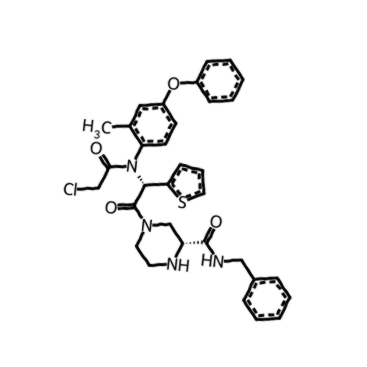 Cc1cc(Oc2ccccc2)ccc1N(C(=O)CCl)[C@@H](C(=O)N1CCN[C@@H](C(=O)NCc2ccccc2)C1)c1cccs1